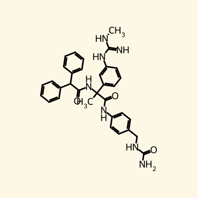 CNC(=N)Nc1cccc(C(C)(NC(=O)C(c2ccccc2)c2ccccc2)C(=O)Nc2ccc(CNC(N)=O)cc2)c1